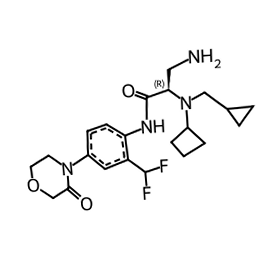 NC[C@H](C(=O)Nc1ccc(N2CCOCC2=O)cc1C(F)F)N(CC1CC1)C1CCC1